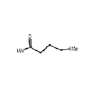 CSCCCC([NH])=O